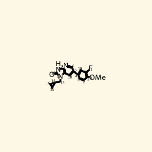 COc1ccc(-c2cnc3[nH]c(=O)n(CC4CC4)c3c2)cc1F